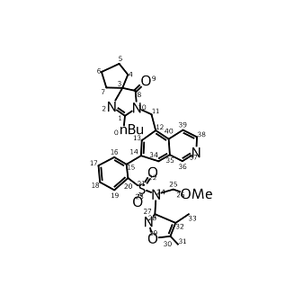 CCCCC1=NC2(CCCC2)C(=O)N1Cc1cc(-c2ccccc2S(=O)(=O)N(COC)c2noc(C)c2C)cc2cnccc12